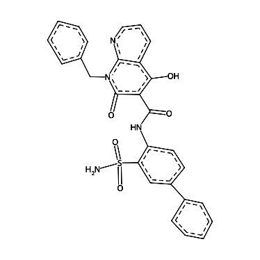 NS(=O)(=O)c1cc(-c2ccccc2)ccc1NC(=O)c1c(O)c2cccnc2n(Cc2ccccc2)c1=O